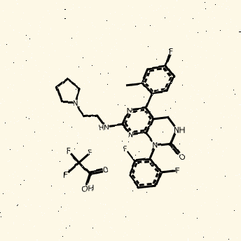 Cc1cc(F)ccc1-c1nc(NCCN2CCCC2)nc2c1CNC(=O)N2c1c(F)cccc1F.O=C(O)C(F)(F)F